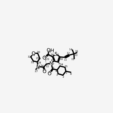 CC1CCC(C(=O)N(c2cc(C#CC(C)(C)C)sc2C(=O)O)[C@@H](C)C(=O)N(C)C2CCOCC2)CC1